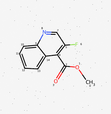 COC(=O)c1c(F)cnc2ccccc12